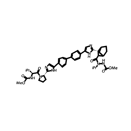 COC(=O)N[C@H](C(=O)N1CCC[C@H]1c1ncc(-c2ccc(-c3ccc(-c4cnc([C@@H]5C6CCC(C6)C5C(=O)N(NC(=O)OC)C(C)C)[nH]4)cc3)cc2)[nH]1)C(C)C